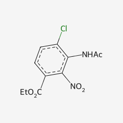 CCOC(=O)c1ccc(Cl)c(NC(C)=O)c1[N+](=O)[O-]